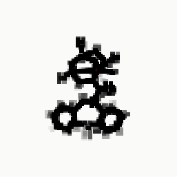 C[C@@H]1[C@@H]2C[C@H]3C[C@H](CC[C@]1(C(=O)N1Cc4cccnc4Nc4ccccc41)C3)C2